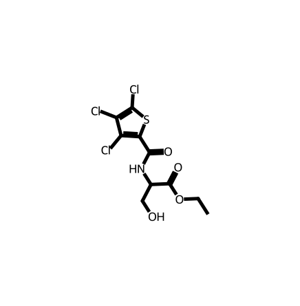 CCOC(=O)C(CO)NC(=O)c1sc(Cl)c(Cl)c1Cl